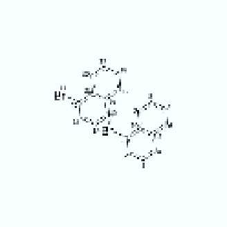 Brc1cc[c]c2ccccc12.Brc1cc[c]c2ccccc12